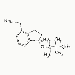 CC(C)(C)[Si](C)(C)O[C@H]1CCc2c(CC#N)cccc21